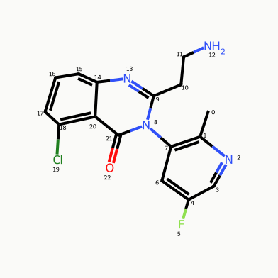 Cc1ncc(F)cc1-n1c(CCN)nc2cccc(Cl)c2c1=O